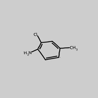 Cc1[c]cc(N)c(Cl)c1